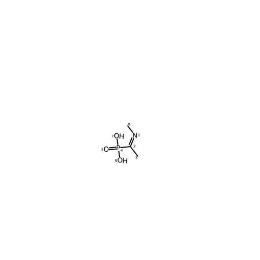 CN=C(C)P(=O)(O)O